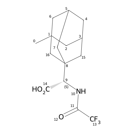 CC12CC3CC(C1)CC([C@H](NC(=O)C(F)(F)F)C(=O)O)(C3)C2